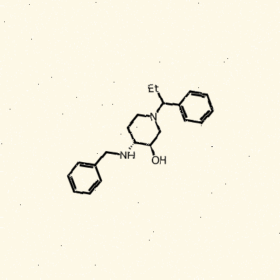 CCC(c1ccccc1)N1CC[C@@H](NCc2ccccc2)[C@H](O)C1